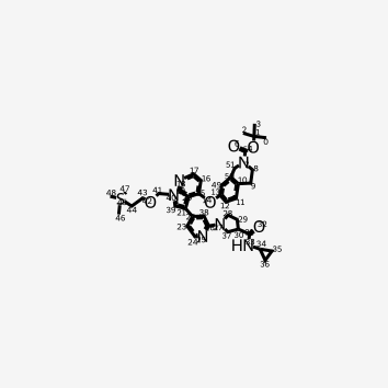 CC(C)(C)OC(=O)N1CCc2ccc(Oc3ccnc4c3c(-c3ccnc(N5CCC(C(=O)NC6CC6)C5)c3)cn4COCCS(C)(C)C)cc2C1